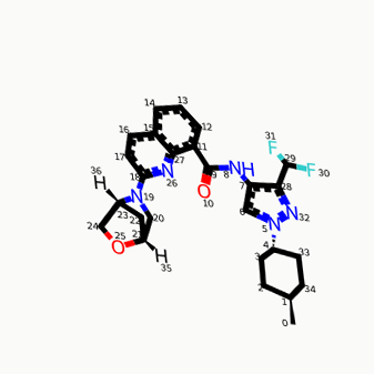 C[C@H]1CC[C@H](n2cc(NC(=O)c3cccc4ccc(N5C[C@H]6C[C@@H]5CO6)nc34)c(C(F)F)n2)CC1